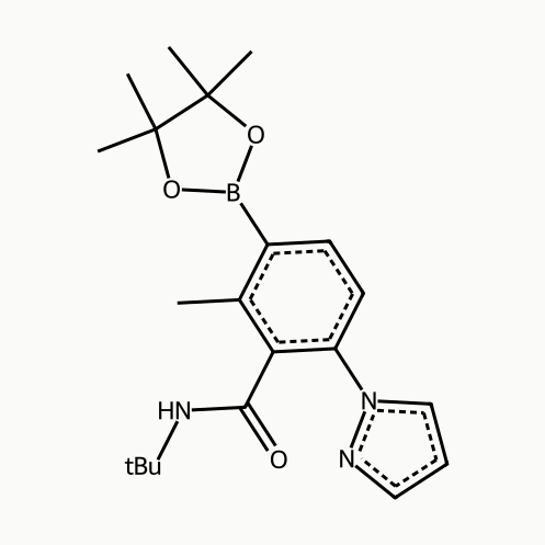 Cc1c(B2OC(C)(C)C(C)(C)O2)ccc(-n2cccn2)c1C(=O)NC(C)(C)C